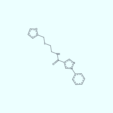 O=C(NCCSCc1ccco1)c1cnn(-c2ccccc2)c1